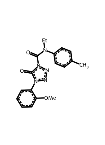 CCN(C(=O)n1nnn(-c2ccccc2OC)c1=O)c1ccc(C)cc1